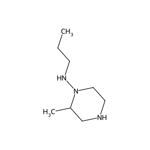 CCCNN1CCNCC1C